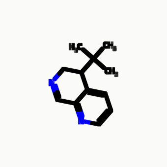 CC(C)(C)C1CN=Cc2ncccc21